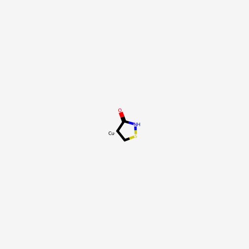 O=C1CCSN1.[Cu]